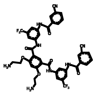 N#Cc1cccc(C(=O)Nc2cc(NC(=O)c3cc(C(=O)Nc4cc(NC(=O)c5cccc(C#N)c5)cc(C(F)(F)F)c4)c(OCCN)cc3OCCN)cc(C(F)(F)F)c2)c1